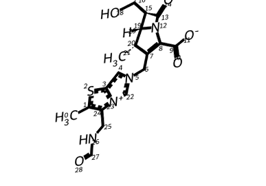 Cc1sc2cn(CC3=C(C(=O)[O-])N4C(=O)[C@H]([C@@H](C)O)[C@H]4[C@H]3C)c[n+]2c1CNC=O